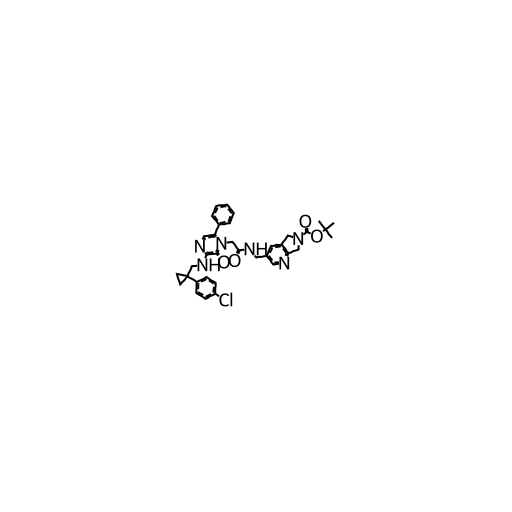 CC(C)(C)OC(=O)N1Cc2cc(CNC(=O)Cn3c(-c4ccccc4)cnc(NCC4(c5ccc(Cl)cc5)CC4)c3=O)cnc2C1